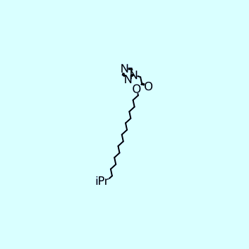 CC(C)CCCCCCCCCCCCCCCOC(=O)Cn1cncn1